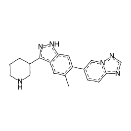 Cc1cc2c(C3CCCNC3)n[nH]c2cc1-c1ccc2ncnn2c1